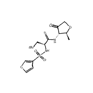 C[C@@H]1OCC(=O)[C@H]1NC(=O)[C@H](CC(C)(C)C)NS(=O)(=O)c1ccoc1